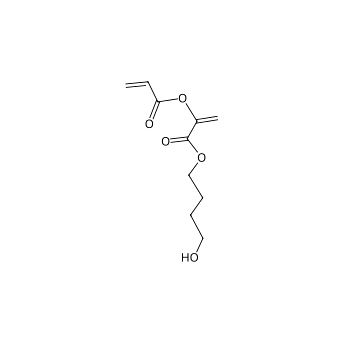 C=CC(=O)OC(=C)C(=O)OCCCCO